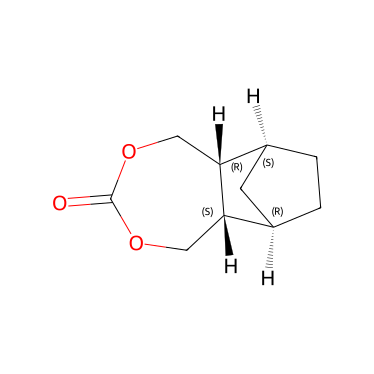 O=C1OC[C@@H]2[C@H]3CC[C@H](C3)[C@@H]2CO1